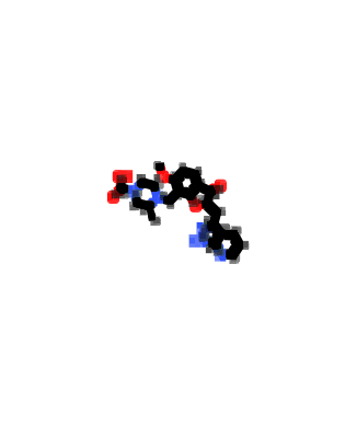 COc1ccc2c(c1CN1CCN(C(=O)O)C[C@@H]1C)OC(=Cc1n[nH]c3ncccc13)C2=O